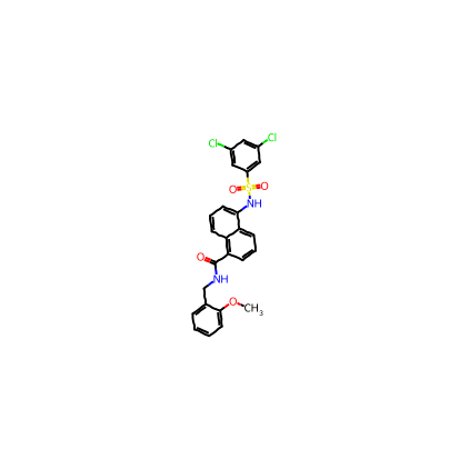 COc1ccccc1CNC(=O)c1cccc2c(NS(=O)(=O)c3cc(Cl)cc(Cl)c3)cccc12